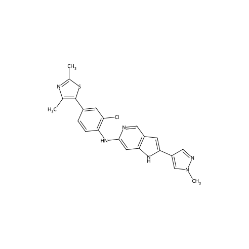 Cc1nc(C)c(-c2ccc(Nc3cc4[nH]c(-c5cnn(C)c5)cc4cn3)c(Cl)c2)s1